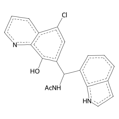 CC(=O)NC(c1cc(Cl)c2cccnc2c1O)c1cccc2cc[nH]c12